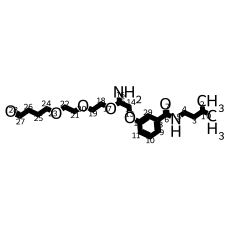 CC(C)CCNC(=O)c1cccc(OCC(N)OCCOCCOCCCC=O)c1